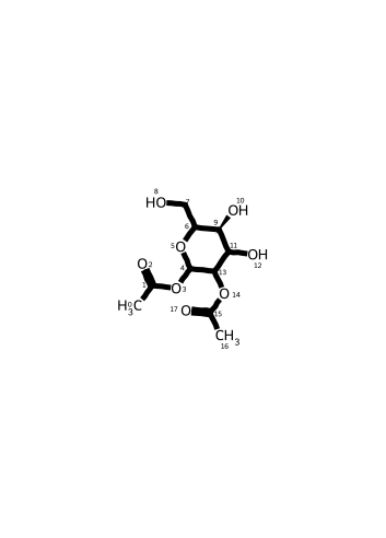 CC(=O)OC1OC(CO)[C@@H](O)C(O)C1OC(C)=O